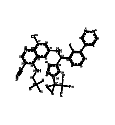 Cc1c(-c2ccnnc2)cccc1[C@H](Nc1cc(Cl)c2ncc(C#N)c(NCC(C)(C)C)c2c1)c1cn(C2(C(F)(F)F)CC2)nn1